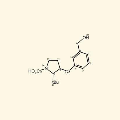 CC(C)(C)C1C(Oc2cccc(CO)c2)CCN1C(=O)O